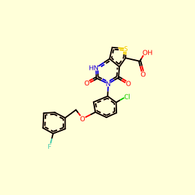 O=C(O)c1scc2[nH]c(=O)n(-c3cc(OCc4cccc(F)c4)ccc3Cl)c(=O)c12